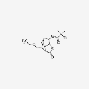 CCC(C)(C)C(=O)OC1C2CC3C1OC(=O)C3C2COCC(F)(F)F